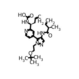 C=CC[C@H](NC(=O)O)c1cc(-c2c(NC(=O)[C@H](C)C=C)cnn2CCOC(C)(C)C)ccn1